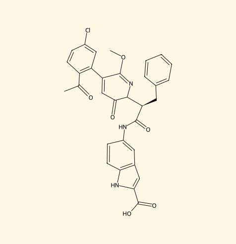 COC1=NC([C@@H](Cc2ccccc2)C(=O)Nc2ccc3[nH]c(C(=O)O)cc3c2)C(=O)C=C1c1cc(Cl)ccc1C(C)=O